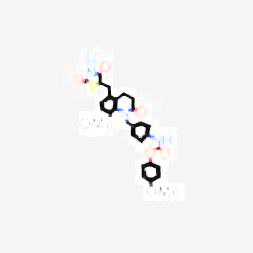 COc1ccc(OC(=O)Nc2ccc(CN3C(=O)CCc4c(CC5SC(=O)NC5=O)ccc(OC)c43)cc2)cc1